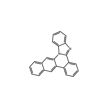 c1ccc2cc3c(cc2c1)c1ccccc1c1nc2ccccc2n31